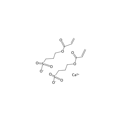 C=CC(=O)OCCCS(=O)(=O)[O-].C=CC(=O)OCCCS(=O)(=O)[O-].[Ca+2]